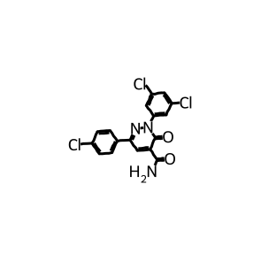 NC(=O)c1cc(-c2ccc(Cl)cc2)nn(-c2cc(Cl)cc(Cl)c2)c1=O